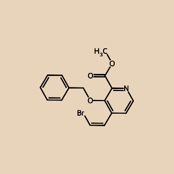 COC(=O)c1nccc(/C=C\Br)c1OCc1ccccc1